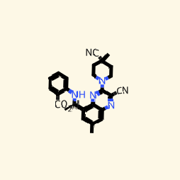 Cc1cc([C@@H](C)Nc2ccccc2C(=O)O)c2nc(N3CCC(C)(C#N)CC3)c(C#N)nc2c1